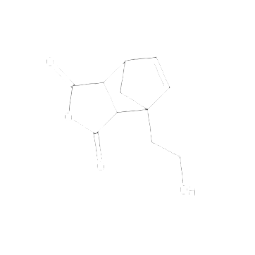 O=C1OC(=O)C2C1C1C=CC2(CCO)C1